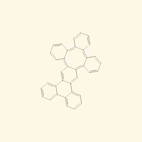 c1ccc2/c(c1)=c1/cccc/c1=c1\cc3c4ccccc4c4ccccc4c3c\c1=c1/cccc/c1=2